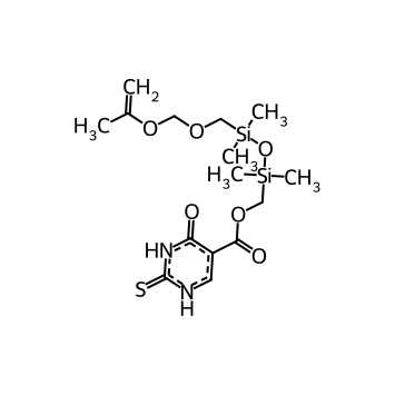 C=C(C)OCOC[Si](C)(C)O[Si](C)(C)COC(=O)c1c[nH]c(=S)[nH]c1=O